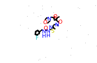 Cc1oc(CN2CCOCC2)cc1C(=O)N(C)Cc1csc(NC(=O)NCc2cccc(F)c2)n1